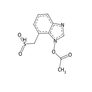 CC(=O)On1cnc2cccc(C[SH](=O)=O)c21